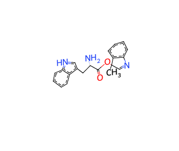 CC1(OC(=O)[C@@H](N)Cc2c[nH]c3ccccc23)C=Nc2ccccc21